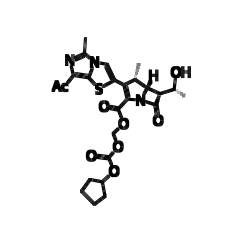 CC(=O)c1nc(C)n2cc(C3=C(C(=O)OCOC(=O)OC4CCCC4)N4C(=O)[C@H]([C@@H](C)O)[C@H]4[C@H]3C)sc12